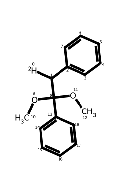 [2H]C(c1ccccc1)C(OC)(OC)c1ccccc1